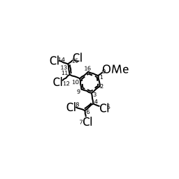 COc1cc(C(Cl)=C(Cl)Cl)cc(C(Cl)=C(Cl)Cl)c1